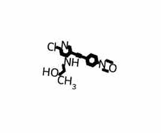 C[C@@H](O)CCNc1cc(Cl)ncc1C#Cc1ccc(N2CCOCC2)cc1